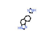 c1c[nH]cn1.c1ccc2c(c1)ccc1[nH]cnc12